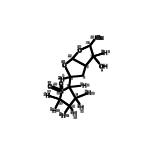 [2H]C1(O)C2CC([2H])(C3([2H])C([2H])([2H])C([2H])([2H])C([2H])([2H])S3(=O)=O)OC2OC1C(C)(C)C